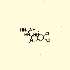 CNC(=N)NC(=N)N(C)Cc1ccc(Cl)c(Cl)c1